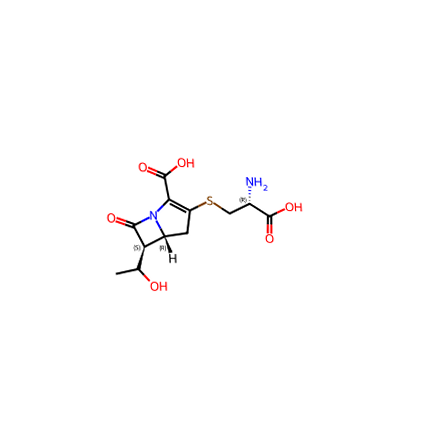 CC(O)[C@H]1C(=O)N2C(C(=O)O)=C(SC[C@H](N)C(=O)O)C[C@H]12